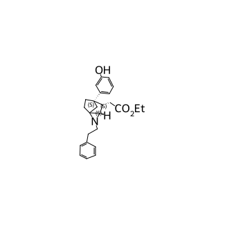 CCOC(=O)C[C@@H]1[C@@H]2N(CCc3ccccc3)C23CC[C@]1(c1cccc(O)c1)C3